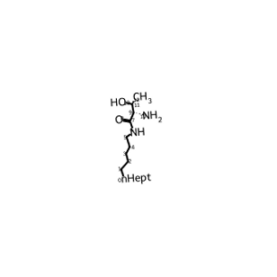 CCCCCCCCCCCCNC(=O)[C@@H](N)[C@H](C)O